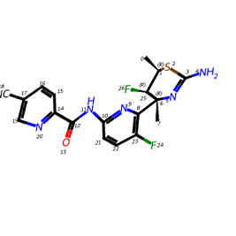 C[C@H]1SC(N)=N[C@](C)(c2nc(NC(=O)c3ccc(C#N)cn3)ccc2F)[C@H]1F